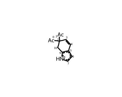 CC(=O)C1(C(C)=O)C=Cc2cc[nH]c2C1